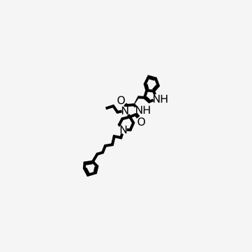 CCCN1C(=O)[C@@H](Cc2c[nH]c3ccccc23)NC(=O)C12CCN(CCCCCCc1ccccc1)CC2